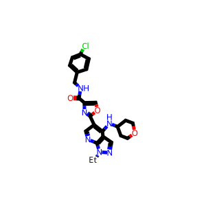 CCn1ncc2c(NC3CCOCC3)c(-c3nc(C(=O)NCc4ccc(Cl)cc4)co3)cnc21